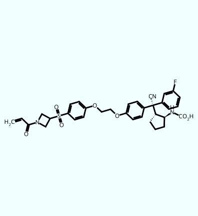 C=CC(=O)N1CC(S(=O)(=O)c2ccc(OCCOc3ccc([C@@](C#N)(c4cccc(F)c4)[C@H]4CCC[C@@H]4NC(=O)O)cc3)cc2)C1